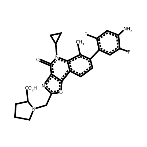 Cc1c(-c2cc(F)c(N)cc2F)ccc2c3oc(CN4CCCC4C(=O)O)nc3c(=O)n(C3CC3)c12